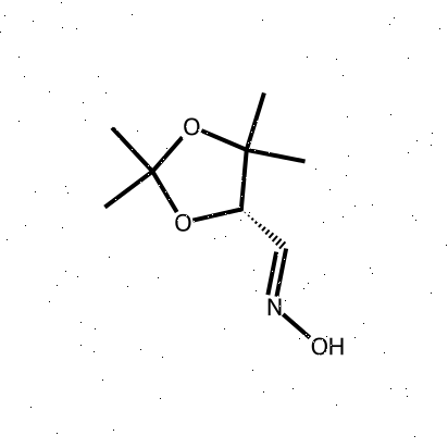 CC1(C)O[C@@H](/C=N/O)C(C)(C)O1